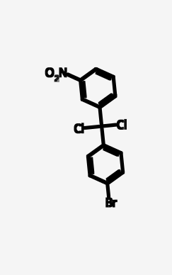 O=[N+]([O-])c1cccc(C(Cl)(Cl)c2ccc(Br)cc2)c1